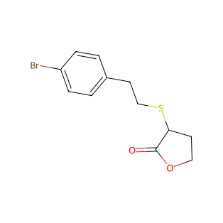 O=C1OCCC1SCCc1ccc(Br)cc1